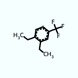 CCc1c[c]c(C(F)(F)F)cc1CC